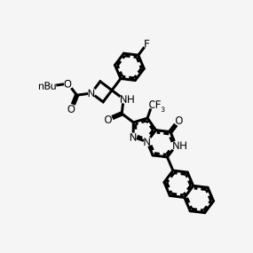 CCCCOC(=O)N1CC(NC(=O)c2nn3cc(-c4ccc5ccccc5c4)[nH]c(=O)c3c2C(F)(F)F)(c2ccc(F)cc2)C1